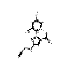 C#CCOc1cc(C(=O)Cl)n(-c2ncc(Cl)cc2Cl)n1